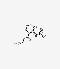 CCCC(=O)N1CCCS/C1=C\[N+](=O)[O-]